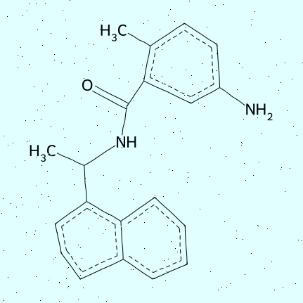 Cc1ccc(N)cc1C(=O)NC(C)c1cccc2ccccc12